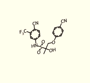 CC(O)(COc1ccc(C#N)cc1)S(=O)(=O)Nc1ccc(C#N)c(C(F)(F)F)c1